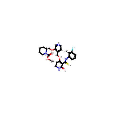 Cc1c(F)cccc1NC(=S)C1=C(OCc2ccncc2OC[C@H]2CCCCN2C(=O)OC(C)(C)C)CCNC1=O